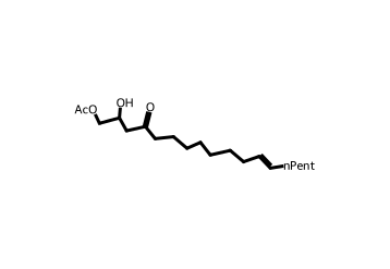 CCCCCC=CCCCCCCCC(=O)CC(O)COC(C)=O